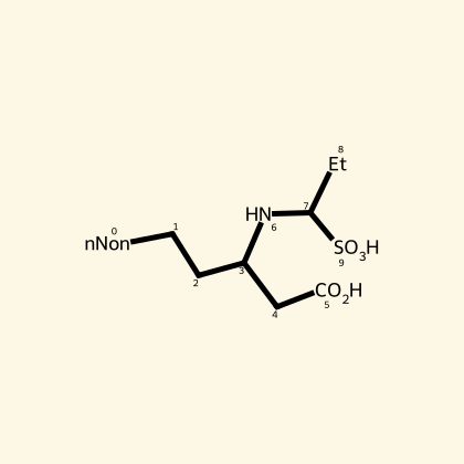 CCCCCCCCCCCC(CC(=O)O)NC(CC)S(=O)(=O)O